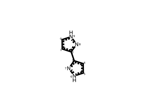 c1cc(-c2cc[nH]n2)n[nH]1